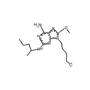 CCCC(C)Nc1nc(N)c2nc(OC)n(CCCCCl)c2n1